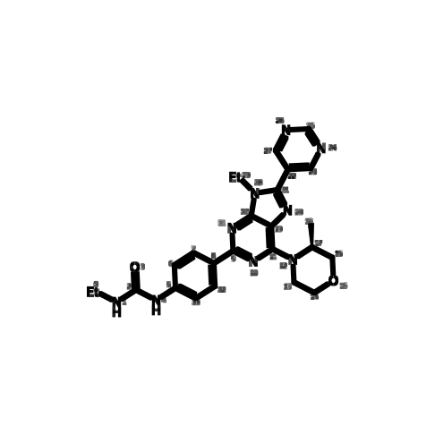 CCNC(=O)Nc1ccc(-c2nc(N3CCOC[C@@H]3C)c3nc(-c4cncnc4)n(CC)c3n2)cc1